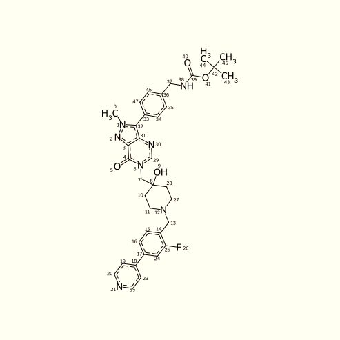 Cn1nc2c(=O)n(CC3(O)CCN(Cc4ccc(-c5ccncc5)cc4F)CC3)cnc2c1-c1ccc(CNC(=O)OC(C)(C)C)cc1